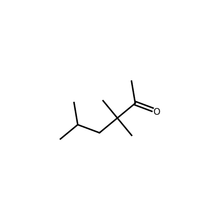 CC(=O)C(C)(C)CC(C)C